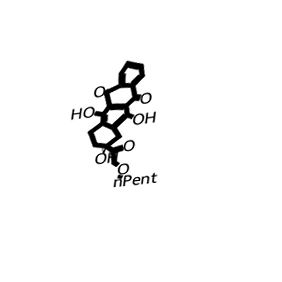 CCCCCOCC(=O)[C@@]1(O)CCc2c(O)c3c(c(O)c2C1)C(=O)c1ccccc1C3=O